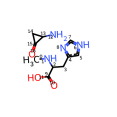 CNC(Cc1c[nH]cn1)C(=O)O.NC1CC1=O